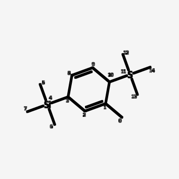 CC1=CC([Si](C)(C)C)C=CC1S(C)(C)C